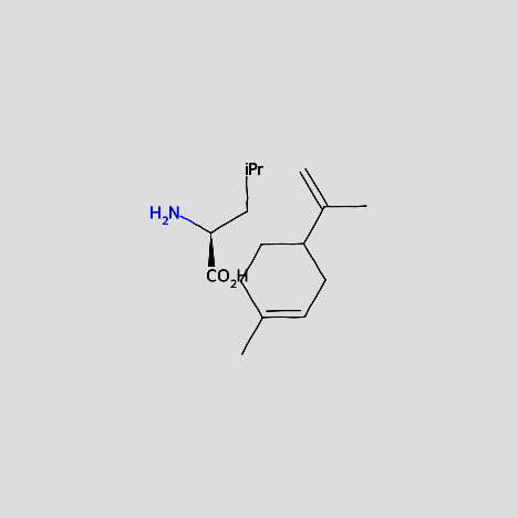 C=C(C)C1CC=C(C)CC1.CC(C)C[C@H](N)C(=O)O